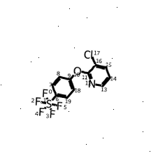 FS(F)(F)(F)(F)c1ccc(Oc2ncccc2Cl)cc1